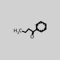 CCCC(=O)c1[c]cccc1